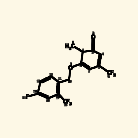 CC1C(=O)C=C(C(F)(F)F)C=C1OCc1ccc(F)cc1C(F)(F)F